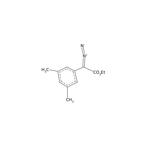 CCOC(=O)C(=[N+]=[N-])c1cc(C)cc(C)c1